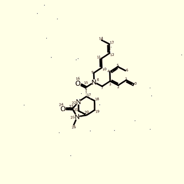 C=C/C=C(\C=C/C)CN(C/C=C/C=C\C)C(=O)[C@@H]1CCC2CN1C(=O)N2C